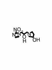 O=[N+]([O-])c1nccn1CC(O)CN1CCC(O)C1